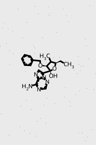 CC[C@H]1O[C@@](O)(c2cnc3c(N)ncnn23)[C@@H](OCc2ccccc2)C1C